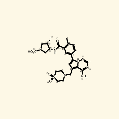 Cc1ccc(-c2cc(CN3CCS(=O)(=O)CC3)c3c(N)ncnn23)cc1C(=O)N[C@@H]1CN(C(=O)O)C[C@@H]1F